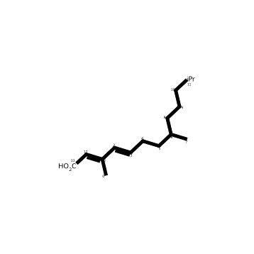 CC(/C=C/CCC(C)CCCC(C)C)=C\C(=O)O